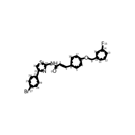 O=C(C=Cc1ccc(OCc2cccc(F)c2)cc1)Nc1nc(-c2ccc(Br)cc2)cs1